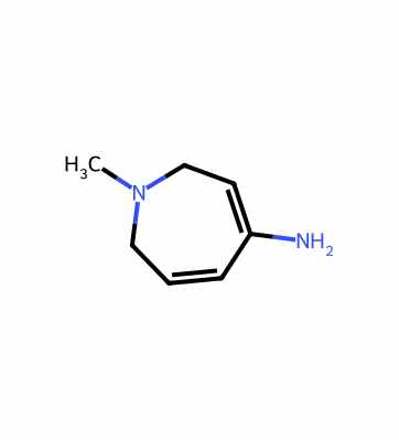 CN1CC=CC(N)=CC1